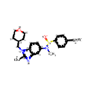 CC(=O)Nc1ccc([S+]([O-])N(C)c2ccc3c(c2)nc(C(C)(C)C)n3CC2CCOCC2)cc1